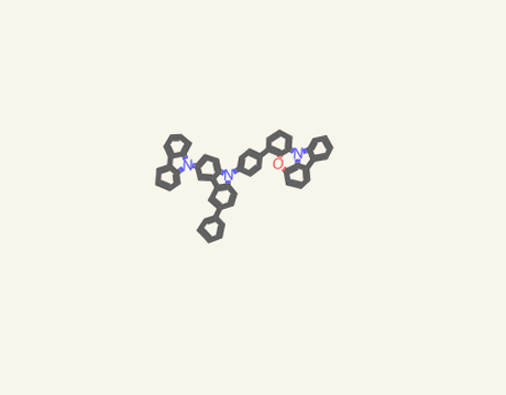 c1ccc(-c2ccc3c(c2)c2cc(-n4c5ccccc5c5ccccc54)ccc2n3-c2ccc(-c3cccc4c3Oc3cccc5c6ccccc6n-4c35)cc2)cc1